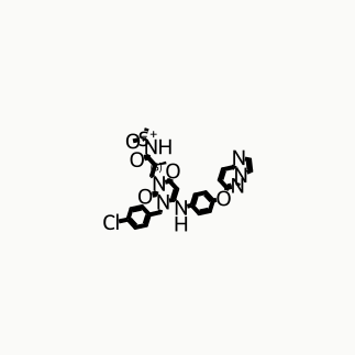 C[C@@H](Cn1c(=O)cc(Nc2ccc(Oc3ccc4nccn4n3)cc2)n(Cc2ccc(Cl)cc2)c1=O)C(=O)N[S+](C)[O-]